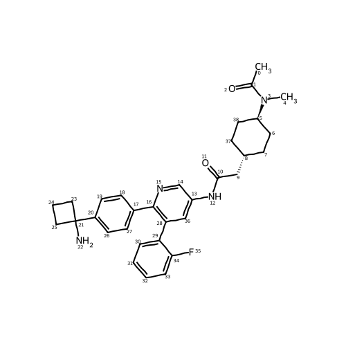 CC(=O)N(C)[C@H]1CC[C@H](CC(=O)Nc2cnc(-c3ccc(C4(N)CCC4)cc3)c(-c3ccccc3F)c2)CC1